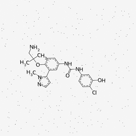 Cn1nccc1-c1cc(NC(=O)Nc2ccc(Cl)c(O)c2)ccc1OC(C)(C)CN